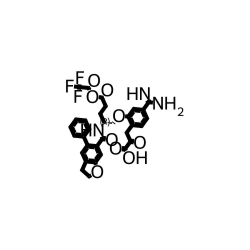 N=C(N)c1ccc(CC(=O)C(=O)O)c(OC[C@@H](CCC(=O)OC(=O)C(F)(F)F)NC(=O)c2cc3c(cc2-c2ccccc2)CCO3)c1